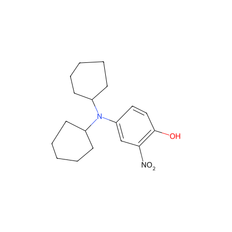 O=[N+]([O-])c1cc(N(C2CCCCC2)C2CCCCC2)ccc1O